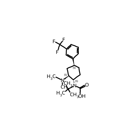 CN(C)[C@H]1C[C@@H](c2cccc(C(F)(F)F)c2)CC[C@@H]1N(C(=O)O)C(C)(C)C